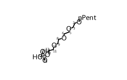 CCCCCOCCOCCOCCOCCOP(=O)(O)O